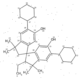 CCC1C(C)(C)c2cc(C3CCCCC3)c(O)cc2C12CC(C)(C)c1cc(C3CCCCC3)c(O)cc12